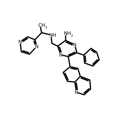 CC(NCc1nc(-c2ccc3ncccc3c2)c(-c2ccccc2)nc1N)c1cnccn1